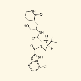 CC1(C)[C@@H]2[C@@H](C(=O)N[C@H](CO)C[C@@H]3CCCNC3=O)N(C(=O)c3cc4cccc(Cl)c4[nH]3)C[C@@H]21